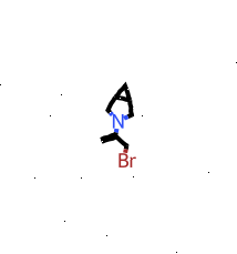 C=C(CBr)N1CC2CC2C1